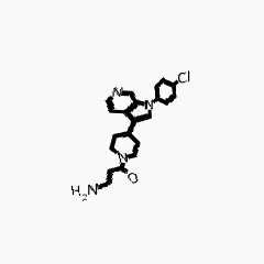 NCCC(=O)N1CCC(c2cn(-c3ccc(Cl)cc3)c3cnccc23)CC1